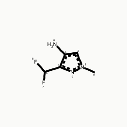 Cn1cc(N)c(C(F)F)n1